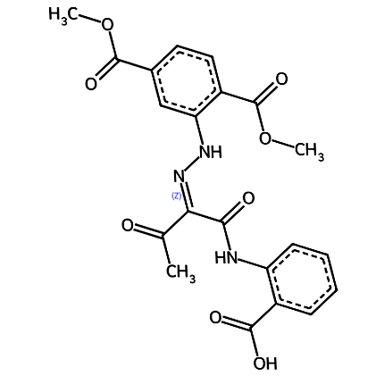 COC(=O)c1ccc(C(=O)OC)c(N/N=C(/C(C)=O)C(=O)Nc2ccccc2C(=O)O)c1